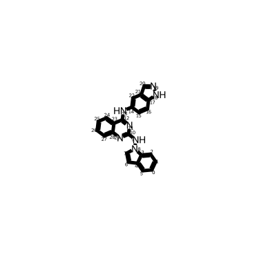 c1ccc2c(c1)ccn2Nc1nc(Nc2ccc3[nH]ncc3c2)c2ccccc2n1